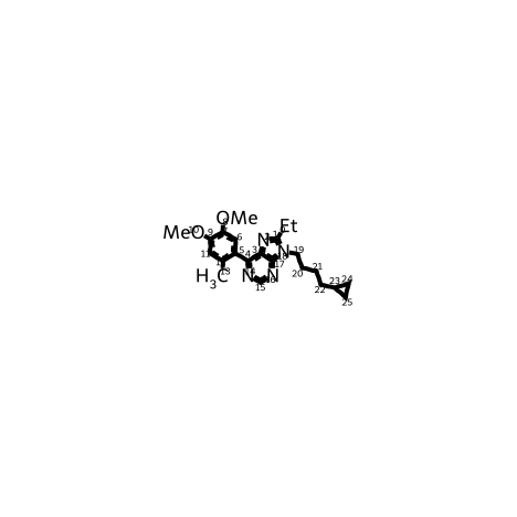 CCc1nc2c(-c3cc(OC)c(OC)cc3C)ncnc2n1CCCCC1CC1